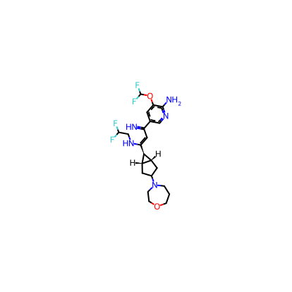 N=C(/C=C(\NCC(F)F)[C@H]1[C@@H]2CC(N3CCCOCC3)C[C@@H]21)c1cnc(N)c(OC(F)F)c1